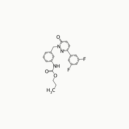 CCCOC(=O)Nc1cccc(Cn2nc(-c3cc(F)cc(F)c3)ccc2=O)c1